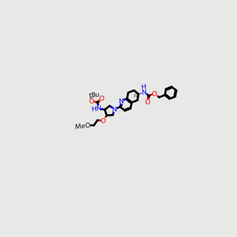 COCCOC1CN(c2ccc3c(n2)CC[C@H](NC(=O)OCc2ccccc2)C3)CC1NC(=O)OC(C)(C)C